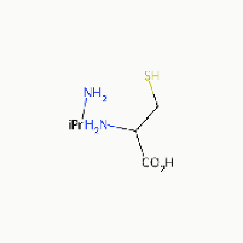 CC(C)N.NC(CS)C(=O)O